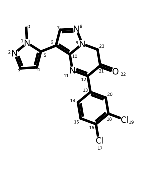 Cn1nccc1-c1cnn2c1N=C(c1ccc(Cl)c(Cl)c1)C(=O)C2